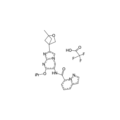 CC(C)Oc1nc2nc(C34COC(C)(C3)C4)cn2cc1NC(=O)c1cccc2ccnn12.O=C(O)C(F)(F)F